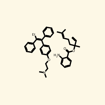 C=CC(C)(CCC=C(C)C)OC(=O)c1ccccc1N.CC/C(=C(\c1ccccc1)c1ccc(OCCN(C)C)cc1)c1ccccc1